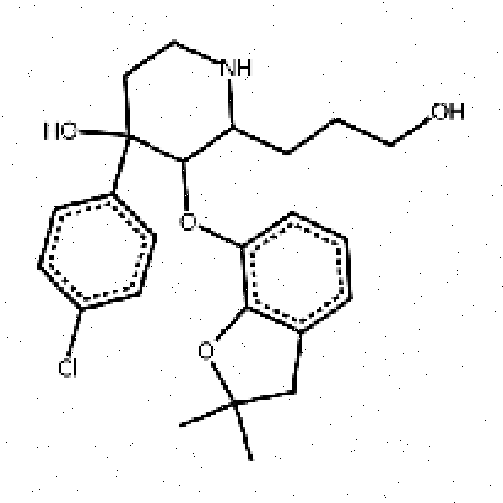 CC1(C)Cc2cccc(OC3C(CCCO)NCCC3(O)c3ccc(Cl)cc3)c2O1